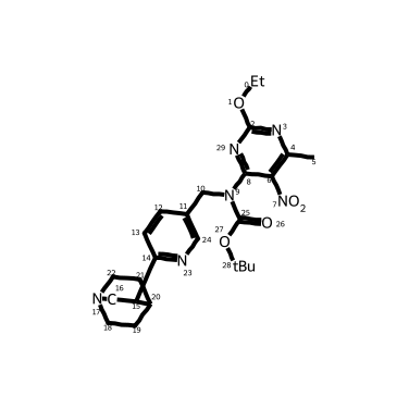 CCOc1nc(C)c([N+](=O)[O-])c(N(Cc2ccc(C3CN4CCC3CC4)nc2)C(=O)OC(C)(C)C)n1